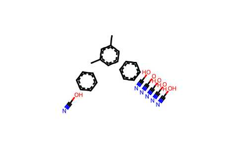 Cc1cccc(C)c1.N#CO.N#CO.N#CO.N#CO.N#CO.N#CO.c1ccccc1.c1ccccc1